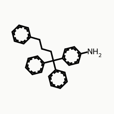 Nc1ccc(C(CCCc2ccccc2)(c2ccccc2)c2ccccc2)cc1